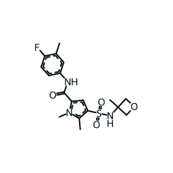 Cc1cc(NC(=O)c2cc(S(=O)(=O)NC3(C)COC3)c(C)n2C)ccc1F